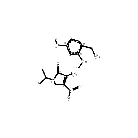 CC(C)N1CC([N+](=O)[O-])=C(N)C1=O.COc1ccc(CN)c(OC)c1